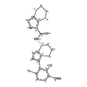 COc1ccc(F)c(-n2ncc3c2COC[C@H]3NC(=O)c2ncn3c2CCCC3)c1Cl